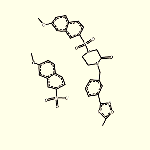 COc1ccc2ccc(S(=O)(=O)Cl)cc2c1.COc1ccc2ccc(S(=O)(=O)N3CCN(Cc4cccc(-c5noc(C)n5)c4)C(=O)C3)cc2c1